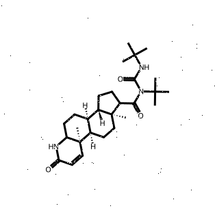 CC(C)(C)NC(=O)N(C(=O)C1CC[C@H]2[C@@H]3CCC4NC(=O)C=C[C@]4(C)[C@@H]3CC[C@]12C)C(C)(C)C